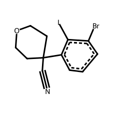 N#CC1(c2cccc(Br)c2I)CCOCC1